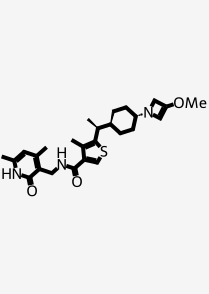 COC1=CN([C@H]2CC[C@H]([C@H](C)c3scc(C(=O)NCc4c(C)cc(C)[nH]c4=O)c3C)CC2)C1